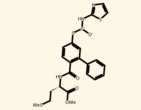 COC(=O)[C@H](CCSC)NC(=O)c1ccc(S[S+]([O-])Nc2nccs2)cc1-c1ccccc1